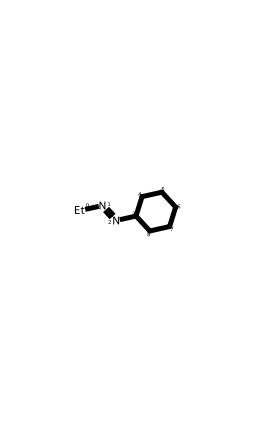 CCN=NC1CCCCC1